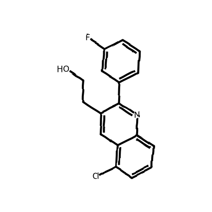 OCCc1cc2c(Cl)cccc2nc1-c1cccc(F)c1